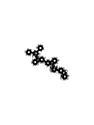 c1ccc(-c2cc(-c3ccccc3)nc(-n3c4ccccc4c4cc(-c5ccc6c(c5)c5ccccc5n6-c5nccc(-c6ccc7sc8cccnc8c7c6)n5)ccc43)c2)cc1